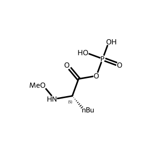 CCCC[C@H](NOC)C(=O)OP(=O)(O)O